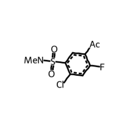 CNS(=O)(=O)c1cc(C(C)=O)c(F)cc1Cl